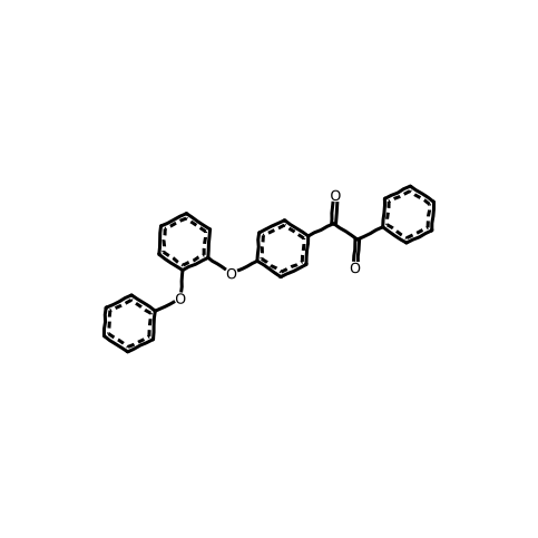 O=C(C(=O)c1ccc(Oc2ccccc2Oc2ccccc2)cc1)c1ccccc1